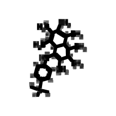 BC1=C(B)C2C(B)=C(B)C(B)=C(Nc3ccc(S(C)(C)C)cc3)C2C(B)=C1B